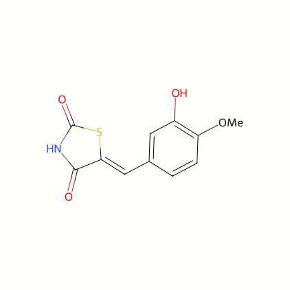 COc1ccc(/C=C2\SC(=O)NC2=O)cc1O